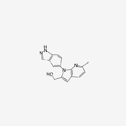 Cc1ccc2cc(CO)n(-c3ccc4[nH]ncc4c3)c2n1